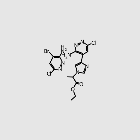 CCOC(=O)C(C)n1cnc(-c2cc(Cl)nnc2N)c1.Nc1nnc(Cl)cc1Br